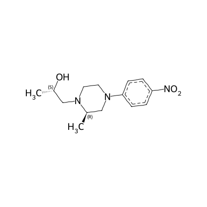 C[C@H](O)CN1CCN(c2ccc([N+](=O)[O-])cc2)C[C@H]1C